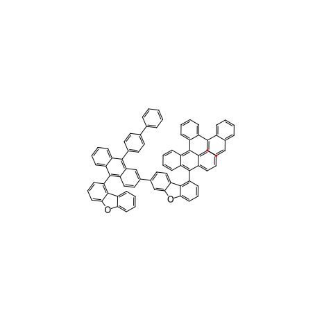 c1ccc(-c2ccc(-c3c4ccccc4c(-c4cccc5oc6ccccc6c45)c4ccc(-c5ccc6c(c5)oc5cccc(-c7c8ccccc8c(-c8ccccc8-c8cccc9ccccc89)c8ccccc78)c56)cc34)cc2)cc1